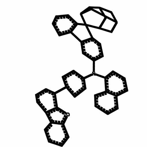 c1ccc2c(c1)-c1cc(N(c3ccc(-c4cccc5c4oc4ccccc45)cc3)c3cccc4ccccc34)ccc1C21C2CC3CC(C2)CC1C3